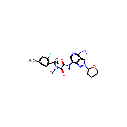 CCN(C(=O)C(=O)Nc1cnc(N)c2cn(C3CCCCO3)nc12)C(C)c1ccc(C(F)(F)F)cc1F